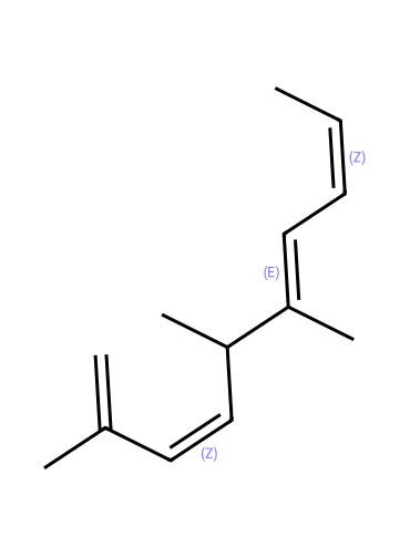 C=C(C)/C=C\C(C)/C(C)=C/C=C\C